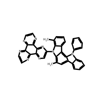 Cc1cccc2c3c(c(C)cc4c5ccccc5n(-c5ccccc5)c43)n(-c3cnc4c5nccnc5c5nccnc5c4n3)c12